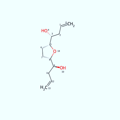 C=CC[C@@H](O)[C@H]1CC[C@@H]([C@@H](O)CC=C)O1